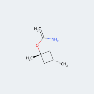 C=C(N)O[C@]1(C)C[C@H](C)C1